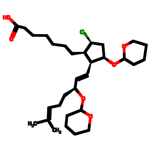 CC(C)=CCC[C@@H](/C=C/[C@@H]1[C@@H](CCCCCCC(=O)O)[C@H](Cl)C[C@H]1OC1CCCCO1)OC1CCCCO1